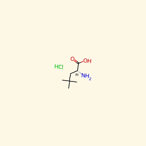 CC(C)(C)C[C@@H](N)C(=O)O.Cl